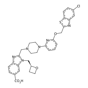 O=C(O)c1ccc2nc(CN3CCN(c4cccc(OCc5nc6cc(Cl)ccc6s5)n4)CC3)n(C[C@@H]3CCO3)c2c1